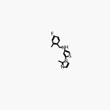 Cc1cc(F)ccc1CNc1csc(-n2ccnc2C)c1